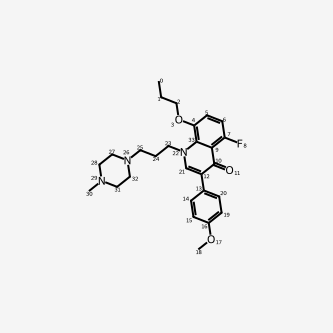 CCCOc1ccc(F)c2c(=O)c(-c3ccc(OC)cc3)cn(CCCN3CCN(C)CC3)c12